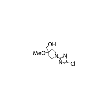 COC1(CO)CCN(c2ncc(Cl)cn2)CC1